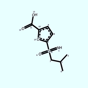 CC(C)CS(=N)(=O)c1ccc(C(=O)O)o1